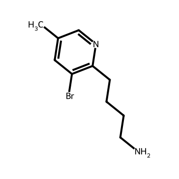 Cc1cnc(CCCCN)c(Br)c1